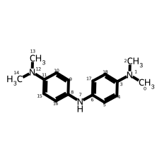 CN(C)c1ccc(Nc2ccc(N(C)C)cc2)cc1